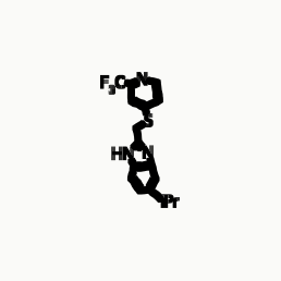 CC(C)c1ccc2[nH]c(CSc3ccnc(C(F)(F)F)c3)nc2c1